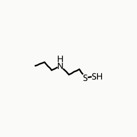 CCCNCCSS